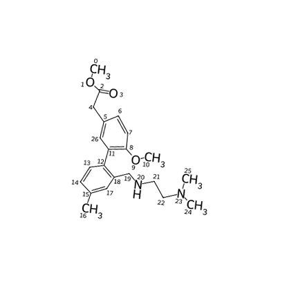 COC(=O)Cc1ccc(OC)c(-c2ccc(C)cc2CNCCN(C)C)c1